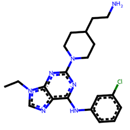 CCn1cnc2c(Nc3cccc(Cl)c3)nc(N3CCC(CCN)CC3)nc21